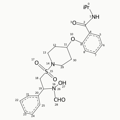 CC(C)NC(=O)c1ccccc1OC1CCN(S(=O)(=O)CC(c2ccccc2)N(O)C=O)CC1